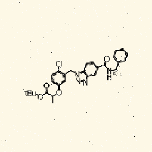 CC(Oc1ccc(Cl)c(Cn2nnc3cc(C(=O)N[C@@H](C)c4ccccc4)ccc32)c1)C(=O)OC(C)(C)C